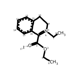 CCOC(=O)C1=[N+](CC)CCc2ccccc21.[I-]